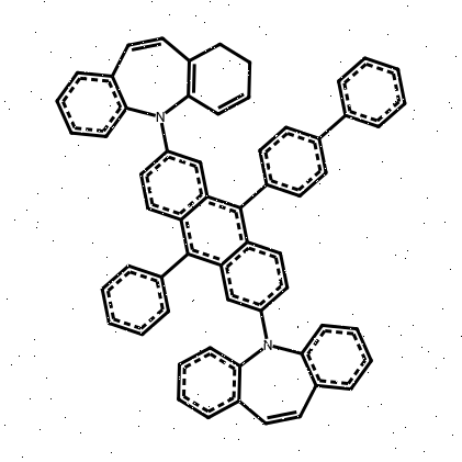 C1=CC2=C(C=Cc3ccccc3N2c2ccc3c(-c4ccccc4)c4cc(N5c6ccccc6C=Cc6ccccc65)ccc4c(-c4ccc(-c5ccccc5)cc4)c3c2)CC1